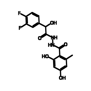 Cc1cc(O)cc(O)c1C(=O)NNC(=O)C(O)c1ccc(F)c(F)c1